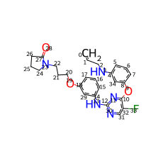 C=CCNc1cccc(Oc2nc(Nc3cccc(OCCCN4CCCC4=O)c3)ncc2F)c1